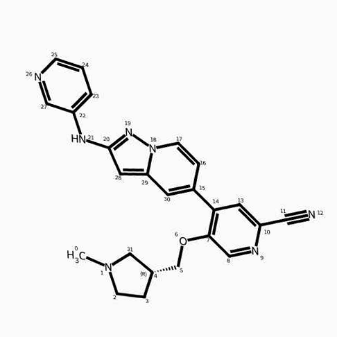 CN1CC[C@@H](COc2cnc(C#N)cc2-c2ccn3nc(Nc4cccnc4)cc3c2)C1